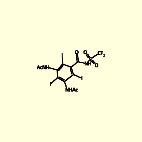 CC(=O)Nc1c(I)c(NC(C)=O)c(I)c(C(=O)NS(=O)(=O)C(F)(F)F)c1I